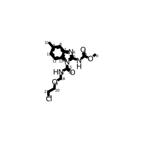 COC(=O)Nc1nc2cc(C)ccc2n1C(=O)NCOCCCl